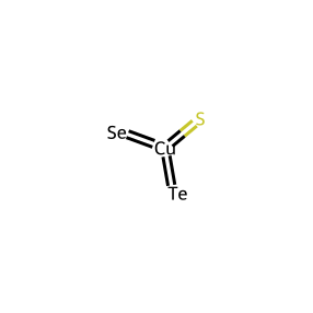 [S]=[Cu](=[Se])=[Te]